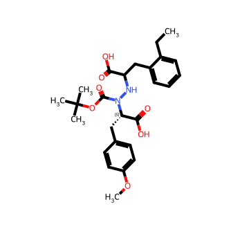 CCc1ccccc1CC(NN(C(=O)OC(C)(C)C)[C@@H](Cc1ccc(OC)cc1)C(=O)O)C(=O)O